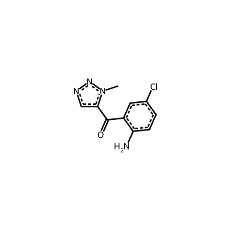 Cn1nncc1C(=O)c1cc(Cl)ccc1N